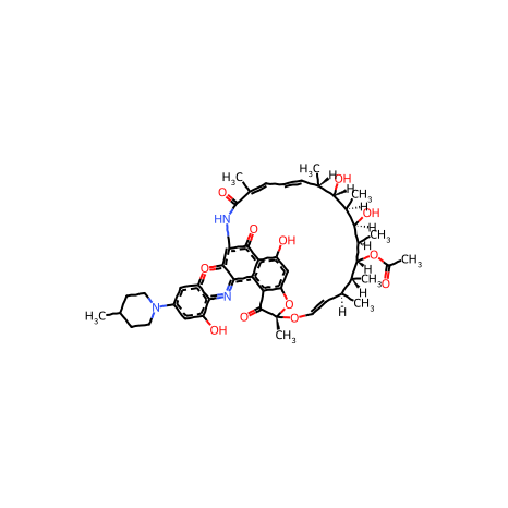 CC(=O)O[C@H]1[C@H](C)[C@H](O)[C@H](C)[C@@H](O)[C@@H](C)/C=C/C=C(/C)C(=O)Nc2c3oc4cc(N5CCC(C)CC5)cc(O)c4nc-3c3c4c(cc(O)c3c2=O)O[C@](C)(O/C=C/[C@H](C)[C@H]1C)C4=O